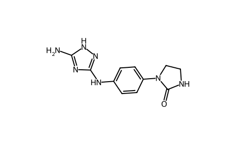 Nc1nc(Nc2ccc(N3CCNC3=O)cc2)n[nH]1